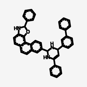 C1=C(c2ccccc2)NC(c2ccc3c(ccc4ccc5c(c43)OC(c3ccccc3)N5)c2)NC1c1cccc(-c2ccccc2)c1